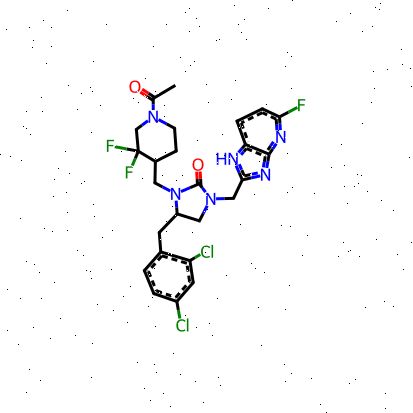 CC(=O)N1CCC(CN2C(=O)N(Cc3nc4nc(F)ccc4[nH]3)CC2Cc2ccc(Cl)cc2Cl)C(F)(F)C1